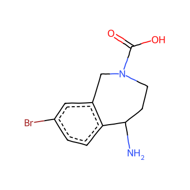 NC1CCN(C(=O)O)Cc2cc(Br)ccc21